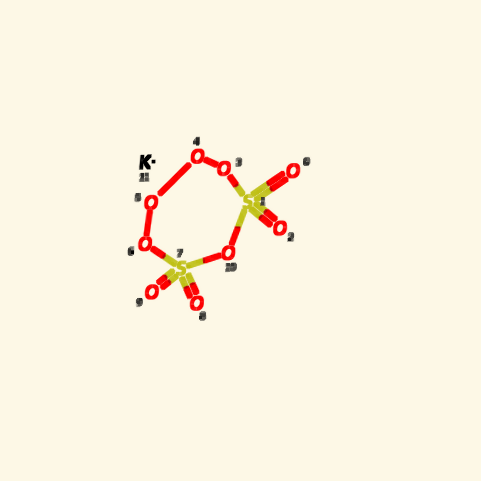 O=S1(=O)OOOOS(=O)(=O)O1.[K]